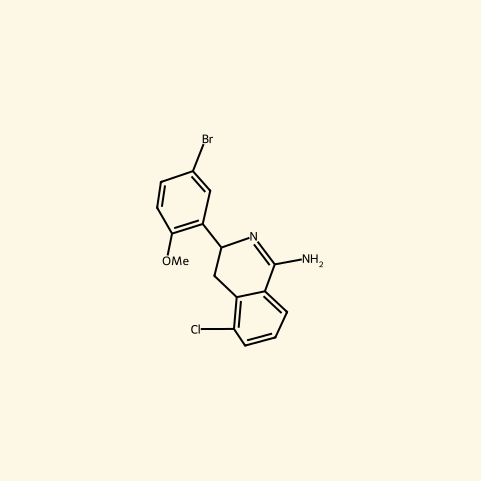 COc1ccc(Br)cc1C1Cc2c(Cl)cccc2C(N)=N1